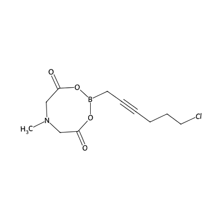 CN1CC(=O)OB(CC#CCCCCl)OC(=O)C1